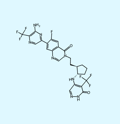 Nc1nc(-c2cc3ncn(CC[C@H]4CCC[C@@H]4Nc4cn[nH]c(=O)c4C(F)(F)F)c(=O)c3cc2F)cnc1C(F)(F)F